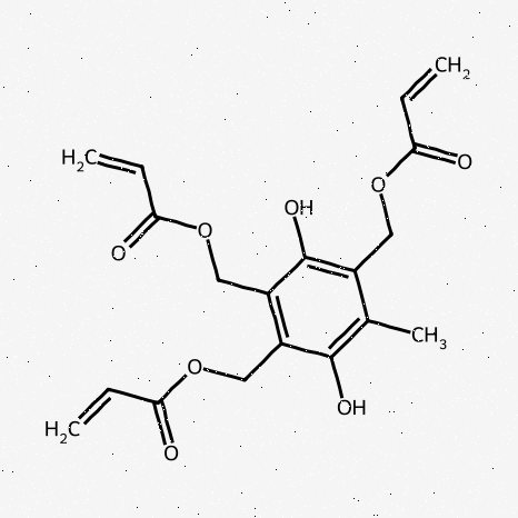 C=CC(=O)OCc1c(C)c(O)c(COC(=O)C=C)c(COC(=O)C=C)c1O